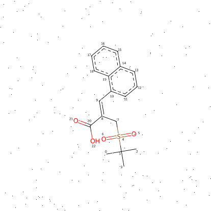 CC(C)(C)S(=O)(=O)CC(=Cc1cccc2ccccc12)C(=O)O